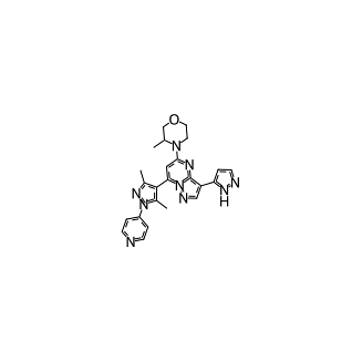 Cc1nn(-c2ccncc2)c(C)c1-c1cc(N2CCOCC2C)nc2c(-c3ccn[nH]3)cnn12